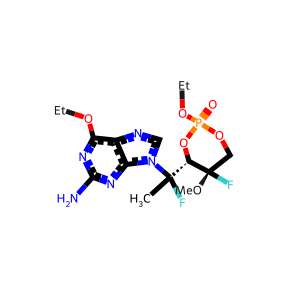 CCOc1nc(N)nc2c1ncn2C(C)(F)[C@@H]1OP(=O)(OCC)OC[C@@]1(F)OC